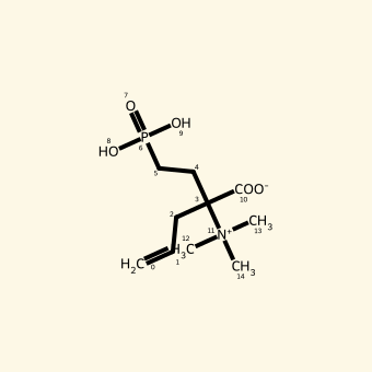 C=CCC(CCP(=O)(O)O)(C(=O)[O-])[N+](C)(C)C